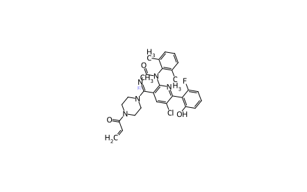 C=CC(=O)N1CCN(/C(=N/C)c2cc(Cl)c(-c3c(O)cccc3F)nc2N(C=O)c2c(C)cccc2C)CC1